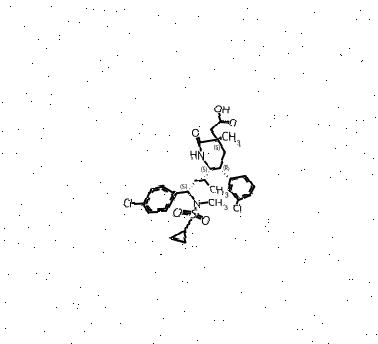 CC(C[C@@H](c1ccc(Cl)cc1)N(C)S(=O)(=O)C1CC1)[C@@H]1NC(=O)[C@](C)(CC(=O)O)C[C@@H]1c1cccc(Cl)c1